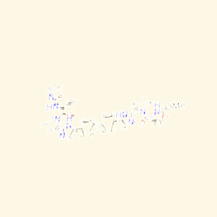 COC(=O)NC(C(=O)N1CCC[C@H]1c1ncc(-c2ccc(-c3ccc(-c4cnc([C@@H]5CCCN5C(=O)[C@@H](NC5=NCCS5)C(C)C)[nH]4)cc3)cc2)[nH]1)C(C)C